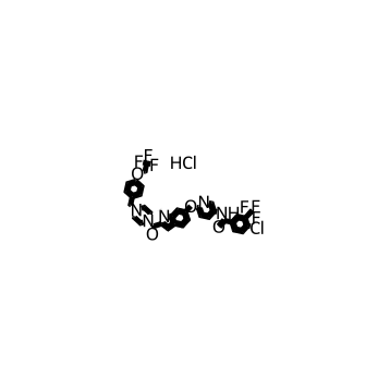 Cl.Cn1c(C(=O)N2CCN(Cc3ccc(OCC(F)(F)F)cc3)CC2)cc2ccc(Oc3ccc(NC(=O)c4ccc(Cl)c(C(F)(F)F)c4)cn3)cc21